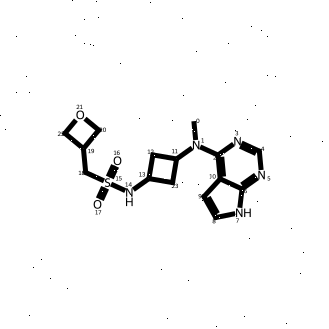 CN(c1ncnc2[nH]ccc12)C1CC(NS(=O)(=O)CC2COC2)C1